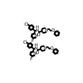 O=C(NC(c1ccc(Cl)cc1)c1ccc(F)cn1)C1CCN(CCOc2ccccc2)CC1.O=C(NC(c1ccc(Cl)cc1)c1ccc(F)cn1)C1CCN(CCOc2ccccc2)CC1